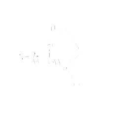 CCO.N.N.O=C(O)/C=C/C(=O)O